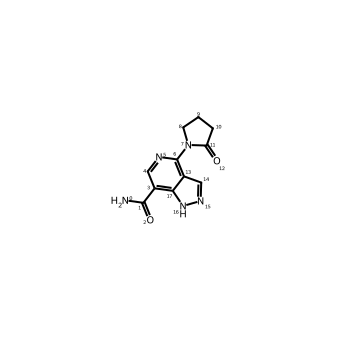 NC(=O)c1cnc(N2CCCC2=O)c2cn[nH]c12